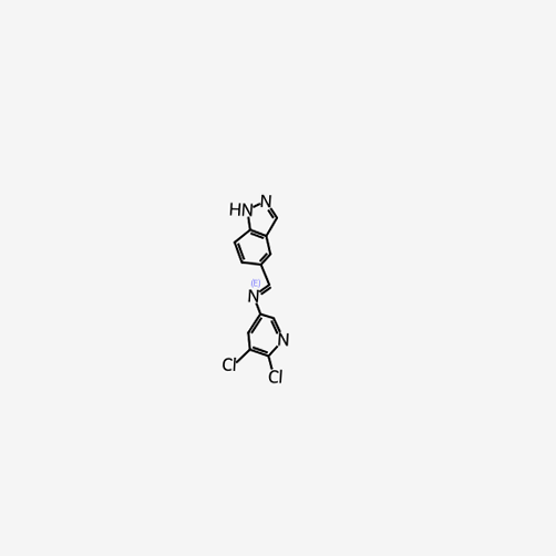 Clc1cc(/N=C/c2ccc3[nH]ncc3c2)cnc1Cl